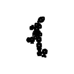 CC(C)c1ccccc1C1CCCN1C1CC2(CCN(c3ccc(C(=O)NS(=O)(=O)c4cc(N=O)c5c(c4)OC[C@@H](CN4CCOCC4)O5)c(Oc4cnc5c(c4)C=CC5)c3)CC2)C1